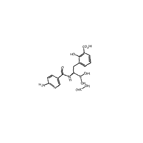 Nc1ccc(C(=O)NC(Cc2cccc(C(=O)O)c2O)B(O)O)cn1.O=CO